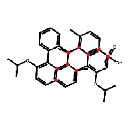 Cc1ccc(S(=O)(=O)O)cc1P(c1ccccc1-c1c(OC(C)C)cccc1OC(C)C)c1ccccc1-c1c(OC(C)C)cccc1OC(C)C